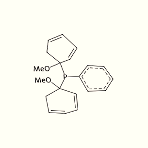 COC1(P(c2ccccc2)C2(OC)C=CC=CC2)C=CC=CC1